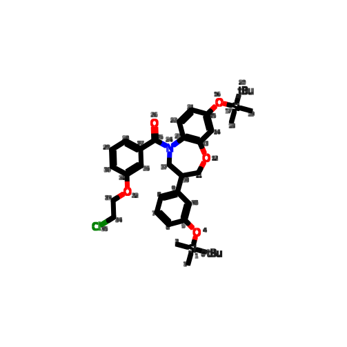 CC(C)(C)[Si](C)(C)Oc1cccc(C2COc3cc(O[Si](C)(C)C(C)(C)C)ccc3N(C(=O)c3cccc(OCCCl)c3)C2)c1